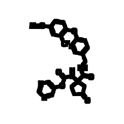 COc1ccc(Oc2ccc(CNC(=O)C3(NC(=O)Oc4cncnc4)CCC(=O)C3)cc2)c(C(F)(F)F)c1